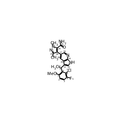 COc1ccc(F)c(Cl)c1[C@@H](C)c1c[nH]c2ncc(-c3c(C)nn(C)c3C(N)=O)cc12